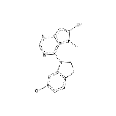 Cn1c(O)cc2ncnc(N3CCc4ccc(Cl)cc43)c21